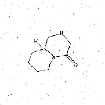 O=C1C[N]C[C@@H]2CCCCN12